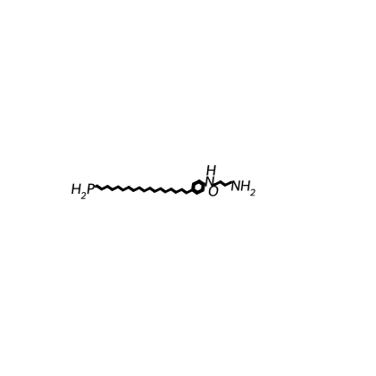 NCCCC(=O)Nc1ccc(CCCCCCCCCCCCCCCCCCP)cc1